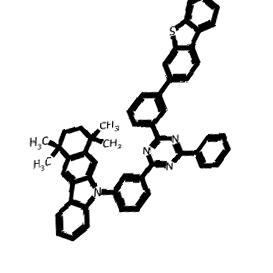 CC1(C)CCC(C)(C)c2cc3c(cc21)C1C=CC=CC1N3c1cccc(-c2nc(-c3ccccc3)nc(-c3cccc(-c4ccc5c(c4)sc4ccccc45)c3)n2)c1